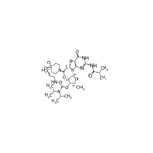 C=CCNOP(OC1[C@@H](C)O[C@@H](n2cnc3c(=O)[nH]c(NC(=O)C(C)C)nc32)[C@H]1OC(=S)N1CCS(=O)(=O)CC1)N(C(C)C)C(C)C